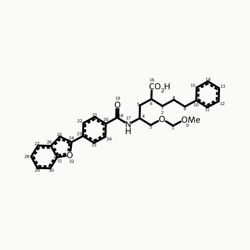 COCOCC(CC(CCCc1ccccc1)C(=O)O)NC(=O)c1ccc(-c2cc3ccccc3o2)cc1